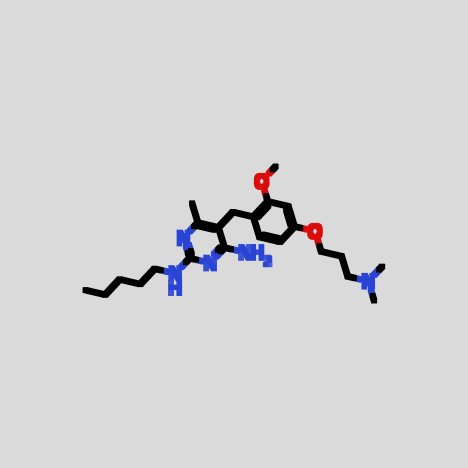 CCCCCNc1nc(C)c(Cc2ccc(OCCCN(C)C)cc2OC)c(N)n1